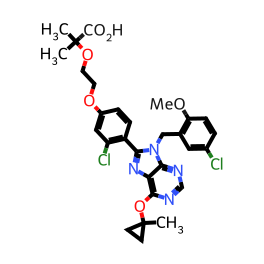 COc1ccc(Cl)cc1Cn1c(-c2ccc(OCCOC(C)(C)C(=O)O)cc2Cl)nc2c(OC3(C)CC3)ncnc21